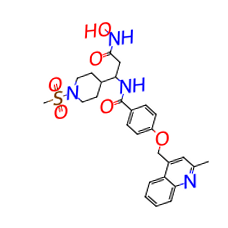 Cc1cc(COc2ccc(C(=O)NC(CC(=O)NO)C3CCN(S(C)(=O)=O)CC3)cc2)c2ccccc2n1